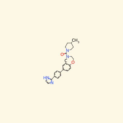 CC1CCN(C(=O)N2CCOc3ccc(-c4ccc(-c5ncc[nH]5)cc4)cc3C2)CC1